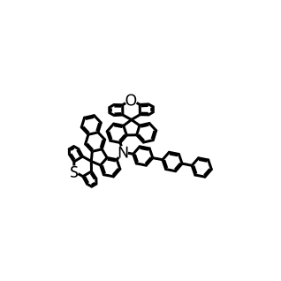 c1ccc(-c2ccc(-c3ccc(N(c4cccc5c4-c4ccccc4C54c5ccccc5Oc5ccccc54)c4cccc5c4-c4cc6ccccc6cc4C54c5ccccc5Sc5ccccc54)cc3)cc2)cc1